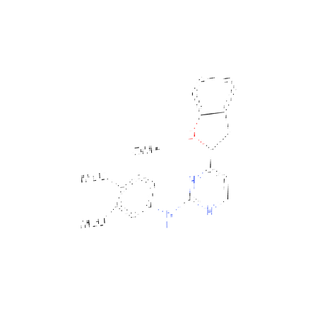 COc1cc(Nc2nccc(C3Cc4ccccc4O3)n2)cc(OC)c1OC